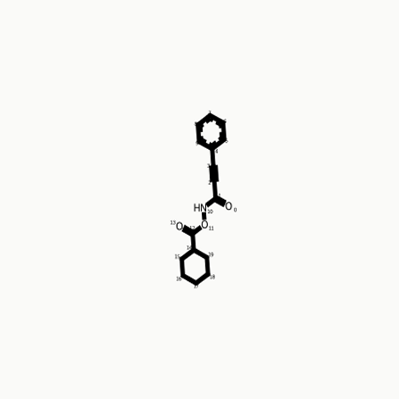 O=C(C#Cc1ccccc1)NOC(=O)C1CCCCC1